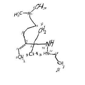 C/C=C(/CCN(C)C)C(C)(C)NNCC